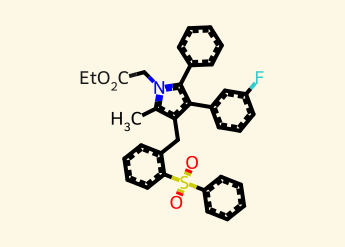 CCOC(=O)Cn1c(C)c(Cc2ccccc2S(=O)(=O)c2ccccc2)c(-c2cccc(F)c2)c1-c1ccccc1